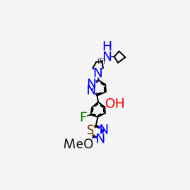 COc1nnc(-c2cc(O)c(-c3ccc(N4CC[C@H](NC5CCC5)C4)nn3)cc2F)s1